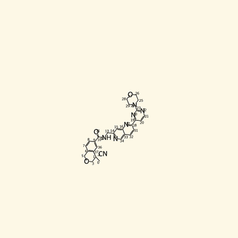 C[C@@]1(C#N)COCc2ccc(C(=O)NCc3cc4nc(-c5ccnc(N6CCOCC6)n5)ccc4cn3)cc21